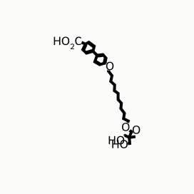 CC(CO)(CO)C(=O)OCCCCCCCCCCCCOc1ccc(-c2ccc(C(=O)O)cc2)cc1